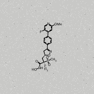 COc1cc(-c2ccc(C3=NO[C@@H](C[C@](C)(C(=O)NO)S(C)(=O)=O)C3)cc2)c(F)cn1